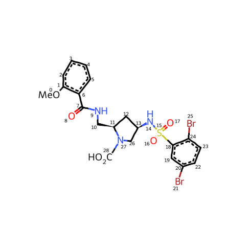 COc1ccccc1C(=O)NC[C@H]1C[C@@H](NS(=O)(=O)c2cc(Br)ccc2Br)CN1C(=O)O